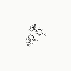 NS(=O)(=O)c1c(F)cc(-c2csc(=O)n2-c2ccc(Cl)cc2)cc1F